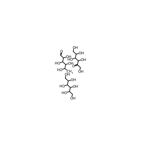 CC(O)C(O)C(O)C(O)C=O.O=C(CO)C(O)C(O)C(O)CO.OCC(O)C(O)C(O)C(O)CO